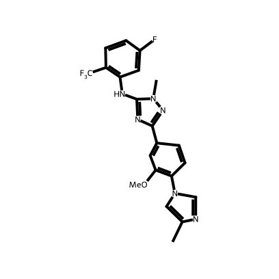 COc1cc(-c2nc(Nc3cc(F)ccc3C(F)(F)F)n(C)n2)ccc1-n1cnc(C)c1